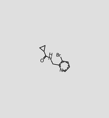 O=C(NCc1ncccc1Br)C1CC1